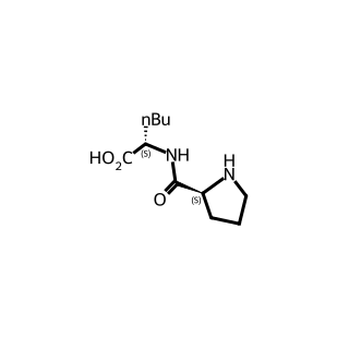 CCCC[C@H](NC(=O)[C@@H]1CCCN1)C(=O)O